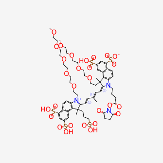 COCCOCCOCCOCCOCC[N+]1=C(/C=C/C(C)=C/C=C2/N(CCCC(=O)ON3C(=O)CCC3=O)c3ccc4c(S(=O)(=O)[O-])cc(S(=O)(=O)O)cc4c3C2(C)CCOCCOCCOCCOC)C(C)(CCCS(=O)(=O)O)c2c1ccc1c(S(=O)(=O)O)cc(S(=O)(=O)O)cc21